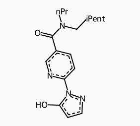 CCCC(C)CN(CCC)C(=O)c1ccc(-n2nccc2O)nc1